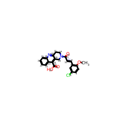 COc1ccc(Cl)cc1/C=C/C(=O)N1CCc2nc3ccccc3c(C(=O)O)c2C1